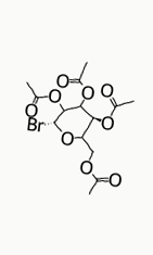 CC(=O)OCC1O[C@H](Br)C(OC(C)=O)C(OC(C)=O)[C@H]1OC(C)=O